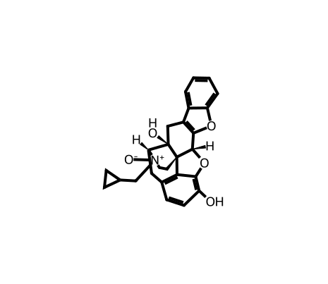 [O-][N+]1(CC2CC2)CC[C@]23c4c5ccc(O)c4O[C@H]2c2oc4ccccc4c2C[C@@]3(O)[C@H]1C5